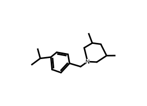 CC1CC(C)CN(Cc2ccc(C(C)C)cc2)C1